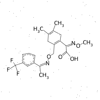 CON=C(C(=O)O)C1=C(CON=C(C)c2cccc(C(F)(F)F)c2)CC(C)=C(C)C1